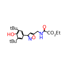 CCOC(=O)C(=O)NCc1cc(-c2cc(C(C)(C)C)c(O)c(C(C)(C)C)c2)no1